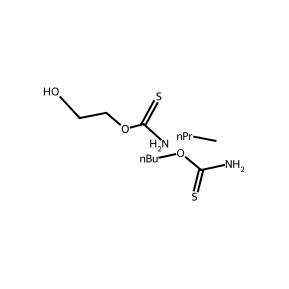 CCCC.CCCCOC(N)=S.NC(=S)OCCO